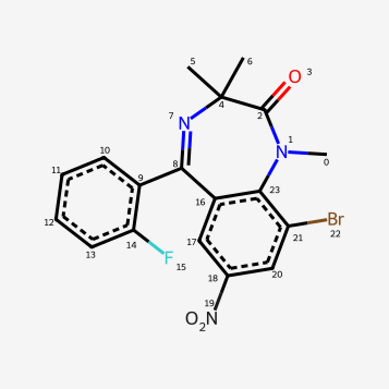 CN1C(=O)C(C)(C)N=C(c2ccccc2F)c2cc([N+](=O)[O-])cc(Br)c21